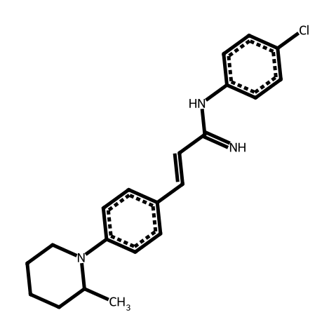 CC1CCCCN1c1ccc(/C=C/C(=N)Nc2ccc(Cl)cc2)cc1